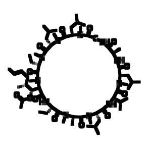 C/C=C/C[C@@H](C)[C@@H](OC(C)=O)C1C(=O)N[C@@H](CC)C(=O)N(C)[C@H](C)C(=O)N(C)[C@@H](CC(C)C)C(=O)N[C@H](C(C)C)C(=O)N(C)[C@H](CC(C)C)C(=O)N[C@H](C)C(=O)NCC(=O)N(C)[C@H](CC(C)C)C(=O)N(C)[C@@H](CC(C)C)C(=O)N(C)[C@@H](CC)C(=O)N1C